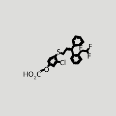 O=C(O)COc1ccc(SCC=C(c2ccccc2)c2ccccc2C(F)C(F)F)c(Cl)c1